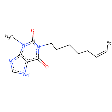 CC/C=C\CCCCCn1c(=O)c2[nH]cnc2n(C)c1=O